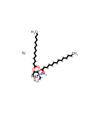 CCCCCCCCCCCCCC(=O)OC(CO)C(OC(=O)CCCCCCCCCCCCC)[N+](C)(C)CC.[Br-]